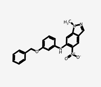 Cn1ncc2cc([N+](=O)[O-])c(Nc3cccc(OCc4ccccc4)c3)cc21